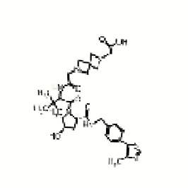 Cc1ncsc1-c1ccc(CNC(=O)[C@@H]2C[C@@H](O)CN2C(=O)C(NC(=O)CN2CC3(CN(CC(=O)O)C3)C2)C(C)(C)C)cc1